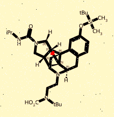 CC(C)NC(=O)N1C[C@H]2C[C@@]34CC[C@@H]1[C@@H]2[C@@]31CCN(CCN(C(=O)O)C(C)(C)C)[C@@H]4Cc2ccc(O[Si](C)(C)C(C)(C)C)cc21